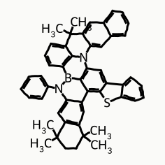 CC1(C)CCC(C)(C)c2cc3c(cc21)-c1c2c(cc4c1sc1ccccc14)N1c4cc5ccccc5cc4C(C)(C)c4cccc(c41)B2N3c1ccccc1